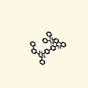 c1ccc(-c2cccc(-c3cc(-c4ccccc4)nc(-c4ccc(-c5ccc(-c6nc7ccccc7c7ccc8c(nc(-c9ccccc9)n8-c8ccccc8)c67)cc5)cc4)n3)c2)cc1